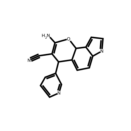 N#CC1=C(N)OC2C3=CC=NC3=CC=C2C1c1cccnc1